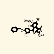 COc1c(O)cc2c(c(-c3ccc(OCc4ccccc4)c(Cl)c3)nc3c2c(C)nn3C(C)(C)C)c1F